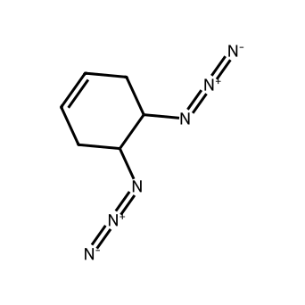 [N-]=[N+]=NC1CC=CCC1N=[N+]=[N-]